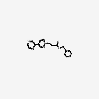 O=C(CC[n+]1ccc(-c2cnccn2)cn1)OCc1ccccc1